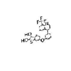 OC1Sc2cc(Oc3cccc(-c4ccnc5c(C(F)(F)F)cccc45)c3)ccc2C1O